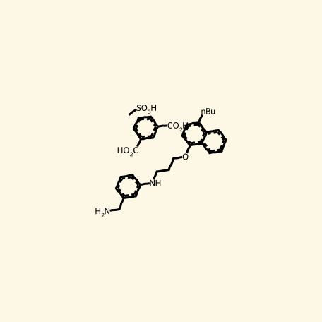 CCCCc1ccc(OCCCNc2cccc(CN)c2)c2ccccc12.CS(=O)(=O)O.O=C(O)c1cccc(C(=O)O)c1